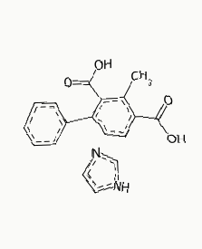 Cc1c(C(=O)O)ccc(-c2ccccc2)c1C(=O)O.c1c[nH]cn1